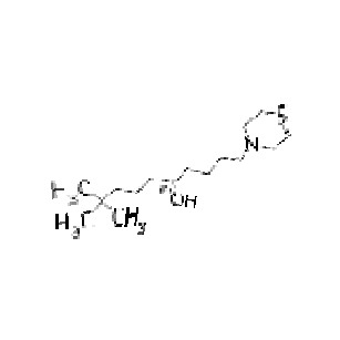 CC(C)(C)CCC[C@@H](O)CCCCN1CCSCC1